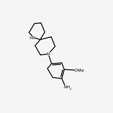 COC1=C(N)CCC(N2CCC3(CCCCN3)CC2)=C1